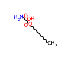 CCCCCCCCCCCCOC(=O)C(O)CC(N)=O